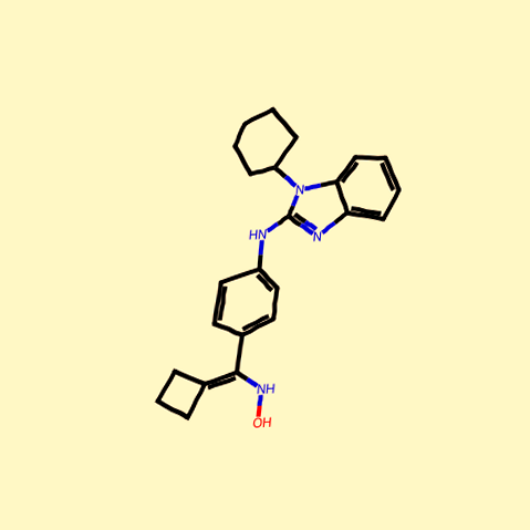 ONC(=C1CCC1)c1ccc(Nc2nc3ccccc3n2C2CCCCC2)cc1